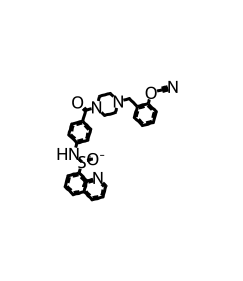 N#COc1ccccc1CN1CCN(C(=O)c2ccc(N[S+]([O-])c3cccc4cccnc34)cc2)CC1